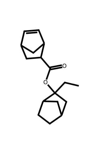 CCC1(OC(=O)C2CC3C=CC2C3)CC2CCC1C2